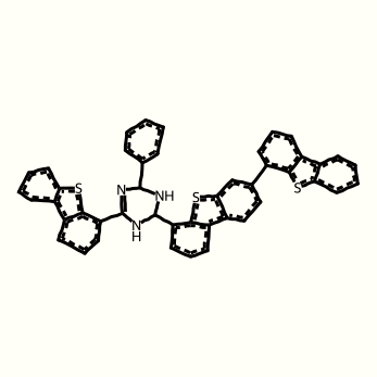 c1ccc(C2N=C(c3cccc4c3sc3ccccc34)NC(c3cccc4c3sc3cc(-c5cccc6c5sc5ccccc56)ccc34)N2)cc1